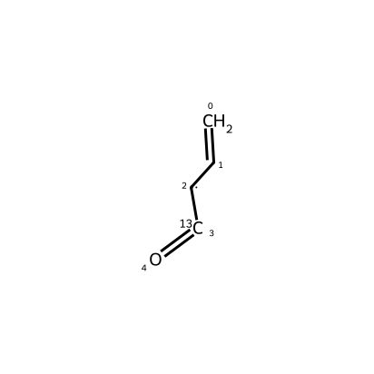 C=C[CH][13CH]=O